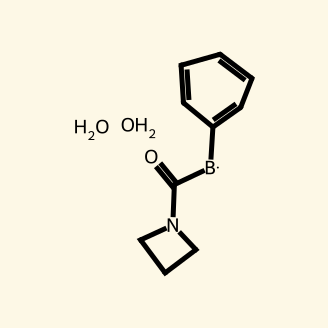 O.O.O=C([B]c1ccccc1)N1CCC1